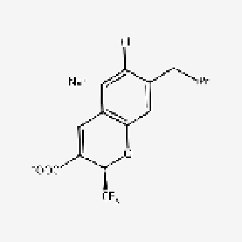 CC(C)Cc1cc2c(cc1Cl)C=C(C(=O)[O-])[C@H](C(F)(F)F)O2.[Na+]